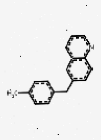 Cc1ccc(Cc2ccc3ncccc3c2)cc1